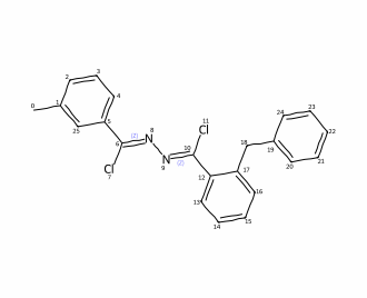 Cc1cccc(/C(Cl)=N/N=C(\Cl)c2ccccc2Cc2ccccc2)c1